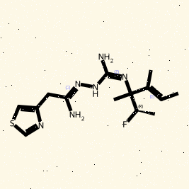 C/C=C(\C)C(C)(/N=C(/N)N/N=C(\N)Cc1cscn1)[C@@H](C)F